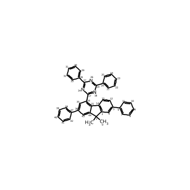 CC1(C)c2cc(-c3ccccc3)ccc2-c2c(-c3nc(-c4ccccc4)nc(-c4ccccc4)n3)cc(-c3ccccc3)cc21